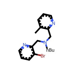 CCCCN(Cc1ncccc1C)Cc1ncccc1Br